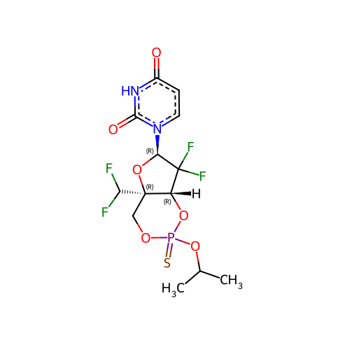 CC(C)OP1(=S)OC[C@@]2(C(F)F)O[C@@H](n3ccc(=O)[nH]c3=O)C(F)(F)[C@@H]2O1